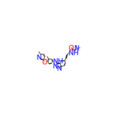 Cc1ccc(Oc2ccc(Nc3ncnc4ccc(C#CCNC(=O)CN(C)C)cc34)cc2C)cn1